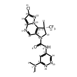 CN(C)c1cc(NC(=O)N2C[C@@](C)(C(F)(F)F)c3c2cnc2cc(Cl)nn32)cnn1